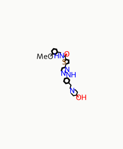 COc1cccc(CNC(=O)c2ccc(-c3ccnc(Nc4cccc(CCN5CCC(O)CC5)c4)n3)s2)c1